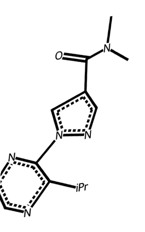 CC(C)c1nccnc1-n1cc(C(=O)N(C)C)cn1